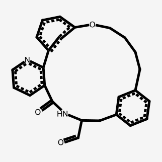 O=CC1Cc2cccc(c2)CCCCOc2cccc(c2)-c2ncccc2C(=O)N1